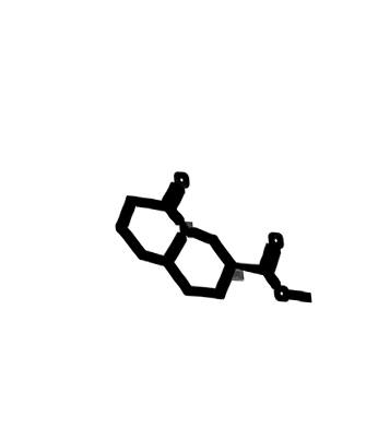 COC(=O)[C@H]1CCC2CCCC(=O)N2C1